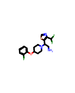 NCC(c1scnc1C(F)F)N1CCC(Oc2ccccc2F)CC1